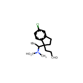 CN(C(=O)O)C(C(C)(C)C)C1(CCC=O)CCc2cc(Cl)ccc21